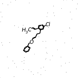 CC=Cc1ccc(Cl)cc1CCC=COCc1ccccc1